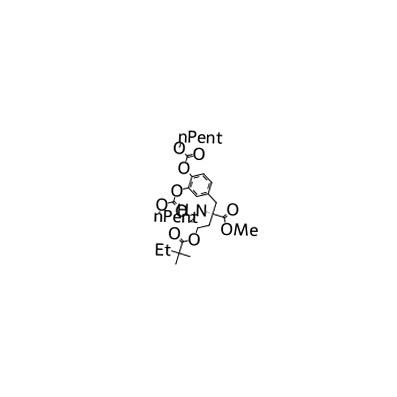 CCCCCOC(=O)Oc1ccc(C[C@](N)(CCOC(=O)C(C)(C)CC)C(=O)OC)cc1OC(=O)OCCCCC